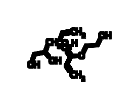 C=CC(=O)O.C=CC(=O)OCCO.CC(O)CO